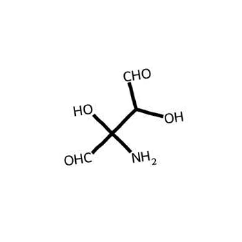 NC(O)(C=O)C(O)C=O